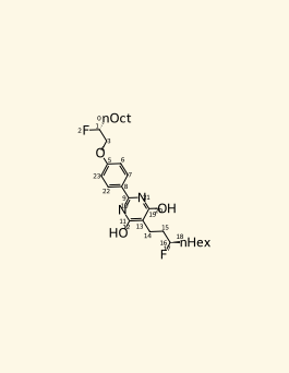 CCCCCCCC[C@@H](F)COc1ccc(-c2nc(O)c(CC[C@H](F)CCCCCC)c(O)n2)cc1